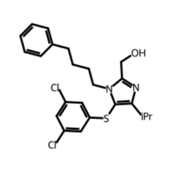 CC(C)c1nc(CO)n(CCCCc2ccccc2)c1Sc1cc(Cl)cc(Cl)c1